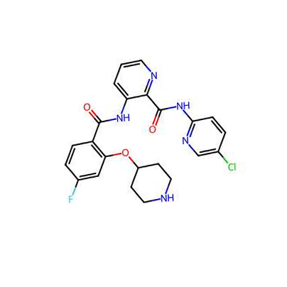 O=C(Nc1cccnc1C(=O)Nc1ccc(Cl)cn1)c1ccc(F)cc1OC1CCNCC1